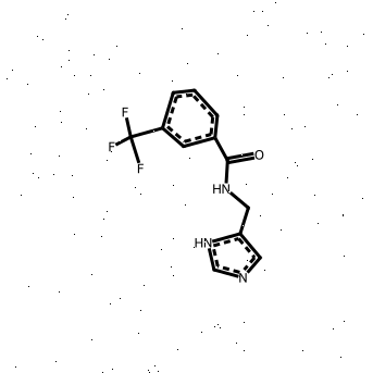 O=C(NCc1cnc[nH]1)c1cccc(C(F)(F)F)c1